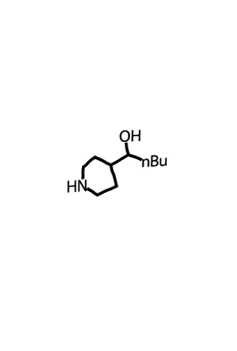 CCCCC(O)C1CCNCC1